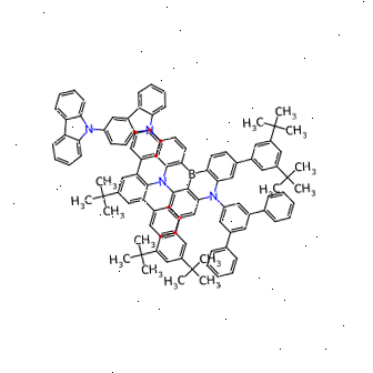 CC(C)(C)c1cc(-c2ccc3c(c2)N(c2cc(-c4ccccc4)cc(-c4ccccc4)c2)c2cc(-c4cc(C(C)(C)C)cc(C(C)(C)C)c4)cc4c2B3c2ccc(-n3c5ccccc5c5cc(-n6c7ccccc7c7ccccc76)ccc53)cc2N4c2c(-c3ccccc3)cc(C(C)(C)C)cc2-c2ccccc2)cc(C(C)(C)C)c1